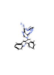 CC(c1cc2ccccc2nc1-c1ccccc1)n1cnc2c(N)ncnc21